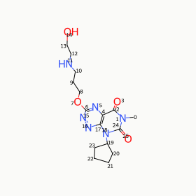 Cn1c(=O)c2nc(OCCCNCCO)nnc2n(C2CCCC2)c1=O